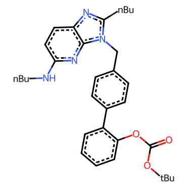 CCCCNc1ccc2nc(CCCC)n(Cc3ccc(-c4ccccc4OC(=O)OC(C)(C)C)cc3)c2n1